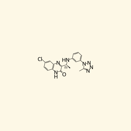 Cc1nnnn1-c1cccc(N[C@@H](C)c2nc3cc(Cl)ccc3[nH]c2=O)c1